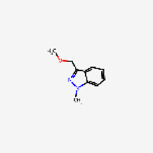 COCc1nn(C)c2cc[c]cc12